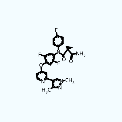 Cc1nn(C)cc1-c1cc(Oc2cc(F)c(N(C(=O)C3(C(N)=O)CC3)c3ccc(F)cc3)cc2F)ccn1